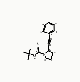 CC(C)(C)OC(=O)N1CCCC1C#Cc1ccccc1